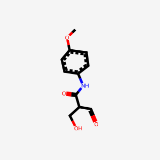 COc1ccc(NC(=O)C(C=O)CO)cc1